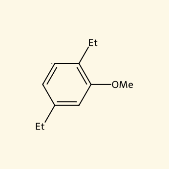 CCc1c[c]c(CC)c(OC)c1